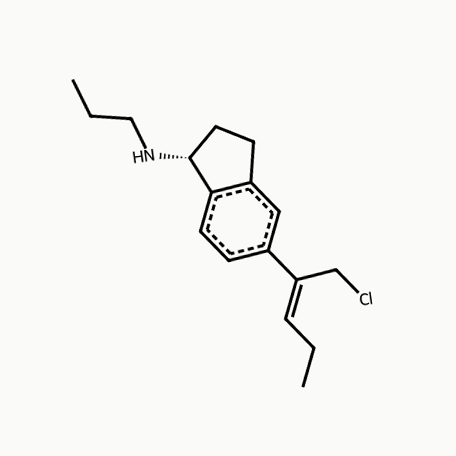 CC/C=C(\CCl)c1ccc2c(c1)CC[C@H]2NCCC